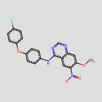 COc1cc2ncnc(Nc3ccc(Oc4ccc(F)cc4)cc3)c2cc1[N+](=O)[O-]